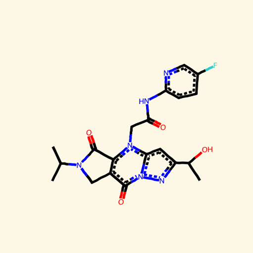 CC(O)c1cc2n(CC(=O)Nc3ccc(F)cn3)c3c(c(=O)n2n1)CN(C(C)C)C3=O